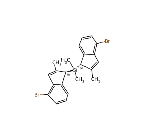 CC1=Cc2c(Br)cccc2[C@@H]1[Si](C)(C)[C@H]1C(C)=Cc2c(Br)cccc21